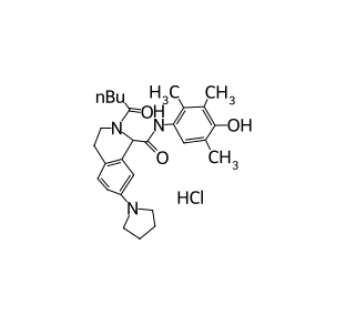 CCCCC(=O)N1CCc2ccc(N3CCCC3)cc2C1C(=O)Nc1cc(C)c(O)c(C)c1C.Cl